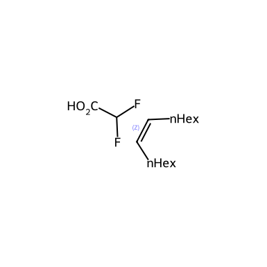 CCCCCC/C=C\CCCCCC.O=C(O)C(F)F